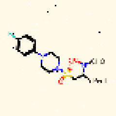 CCCCCC(CS(=O)(=O)N1CCN(c2ccc(F)cc2)CC1)N(O)C=O